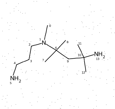 CN(CCCN)C(C)(C)CC(C)(C)N